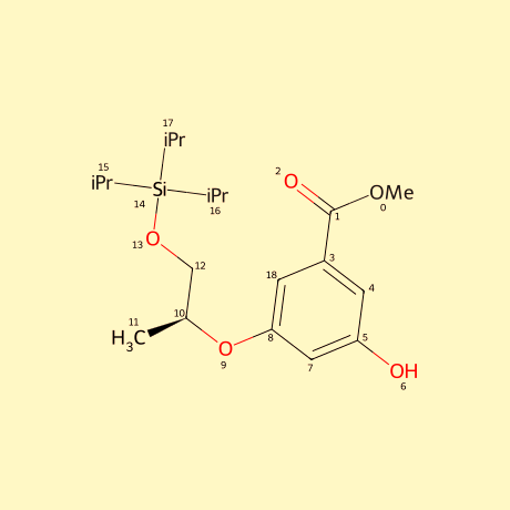 COC(=O)c1cc(O)cc(O[C@@H](C)CO[Si](C(C)C)(C(C)C)C(C)C)c1